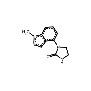 Cn1ncc2c(N3CCNC3=O)cccc21